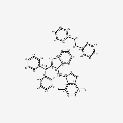 Cc1ccc(C)c2c1C=C[CH]2[Ti][CH]1C(P(c2ccccc2)c2ccccc2)=Cc2ccccc21.c1ccc(CCc2ccccc2)cc1